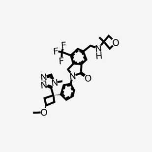 CO[C@H]1C[C@](c2cccc(N3Cc4c(cc(CNC5(C)COC5)cc4C(F)(F)F)C3=O)c2)(c2nncn2C)C1